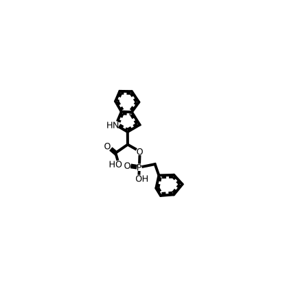 O=C(O)C(OP(=O)(O)Cc1ccccc1)c1cc2ccccc2[nH]1